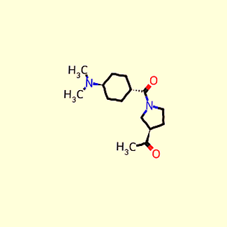 CC(=O)[C@@H]1CCN(C(=O)[C@H]2CC[C@H](N(C)C)CC2)C1